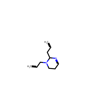 C=CCC1N=CCCN1CC=C